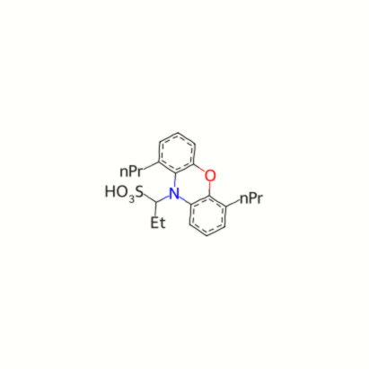 CCCc1cccc2c1Oc1cccc(CCC)c1N2C(CC)S(=O)(=O)O